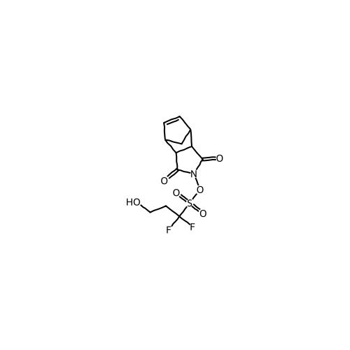 O=C1C2C3C=CC(C3)C2C(=O)N1OS(=O)(=O)C(F)(F)CCO